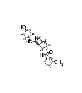 Cc1cccc(NC(=O)c2ccc3cnc(N[C@H]4CC[C@H](O)CC4)nc3c2)n1